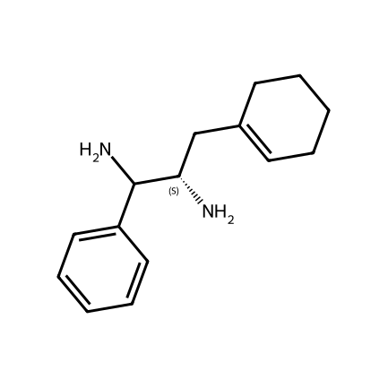 NC(c1ccccc1)[C@@H](N)CC1=CCCCC1